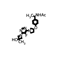 CC(=O)N[C@@H](C)c1ccc(O[C@@H]2CCN(c3ncnc(N4CC(C)(O)C4)c3F)C2)cc1